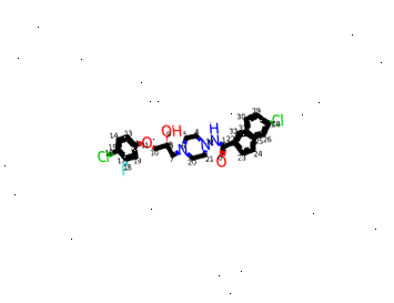 O=C(NN1CCN(C[C@@H](O)COc2ccc(Cl)c(F)c2)CC1)c1ccc2cc(Cl)ccc2c1